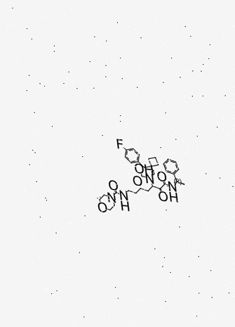 C[C@@H](NC(=O)C(=O)C(CCCCNC(=O)N1CCOCC1)N(CC1(Cc2ccc(F)cc2)CCC1)C(=O)O)c1ccccc1